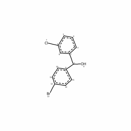 OC(c1[c]ccc(Cl)c1)c1ccc(Br)cc1